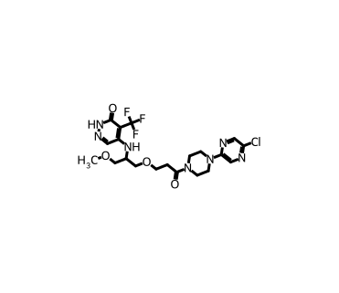 COCC(COCCC(=O)N1CCN(c2cnc(Cl)cn2)CC1)Nc1cn[nH]c(=O)c1C(F)(F)F